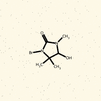 CN1C(=O)N(Br)C(C)(C)C1O